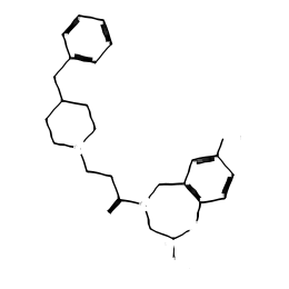 Cc1ccc2c(c1)CN(C(=O)CCN1CCC(Cc3ccccc3)CC1)C[C@H](C)O2